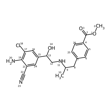 COC(=O)c1ccc(CC(C)NCC(O)c2cc(Cl)c(N)c(C#N)c2)cc1